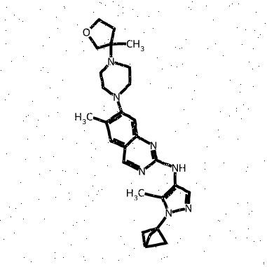 Cc1cc2cnc(Nc3cnn(C45CC(C4)C5)c3C)nc2cc1N1CCN(C2(C)CCOC2)CC1